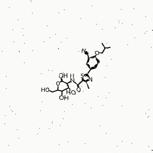 Cc1nc(-c2ccc(OCC(C)C)c(C#N)c2)sc1C(=O)NC1C(O)OC(CO)C(O)C1O